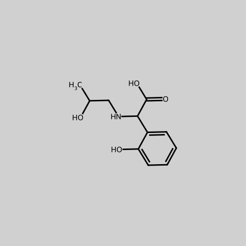 CC(O)CNC(C(=O)O)c1ccccc1O